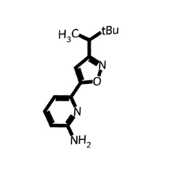 CC(c1cc(-c2cccc(N)n2)on1)C(C)(C)C